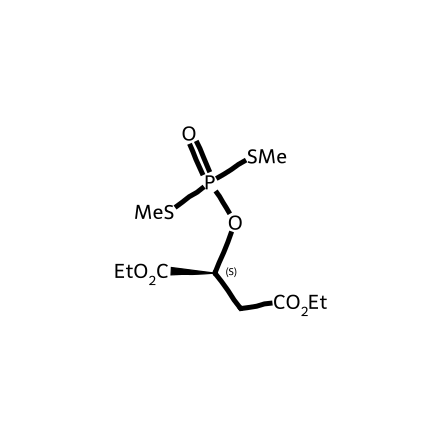 CCOC(=O)C[C@H](OP(=O)(SC)SC)C(=O)OCC